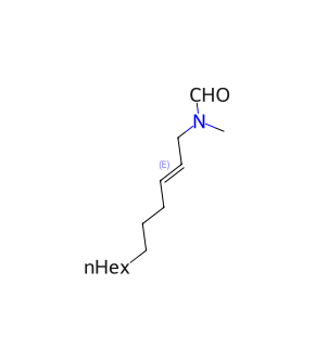 CCCCCCCCC/C=C/CN(C)C=O